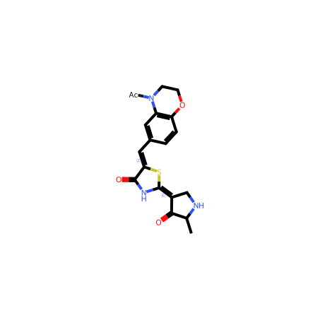 CC(=O)N1CCOc2ccc(/C=c3\s/c(=C4\CNC(C)C4=O)[nH]c3=O)cc21